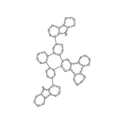 c1ccc2c(c1)-c1ccc(-c3cccc4c3sc3ccccc34)cc1-c1cc3c4ccccc4c4ccccc4c3cc1-c1ccc(-c3cccc4c3sc3ccccc34)cc1-2